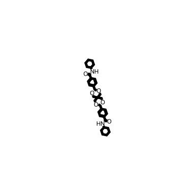 O=C(NC1CCCCC1)c1ccc(C2OCC3(CO2)COC(c2ccc(C(=O)NC4CCCCC4)cc2)OC3)cc1